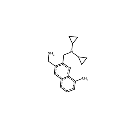 Cc1cccc2cc(CN)c(CN(C3CC3)C3CC3)nc12